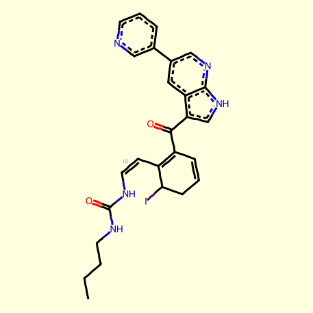 CCCCNC(=O)N/C=C\C1=C(C(=O)c2c[nH]c3ncc(-c4cccnc4)cc23)C=CCC1I